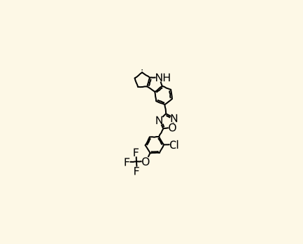 FC(F)(F)Oc1ccc(-c2nc(-c3ccc4[nH]c5c(c4c3)CC[CH]5)no2)c(Cl)c1